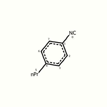 [C-]#[N+]c1ccc(C[CH+][CH2-])cc1